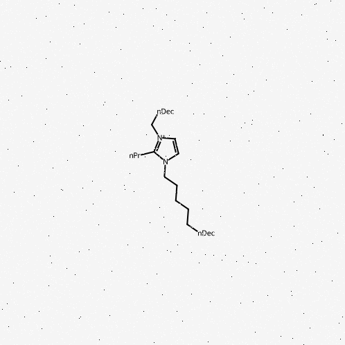 CCCCCCCCCCCCCCCn1cc[n+](CCCCCCCCCCC)c1CCC